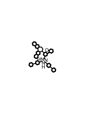 c1ccc(-c2ccc(C3=NC(c4cc(C5CCc6cc7ccccc7cc6-c6cc7ccccc7cc65)c5oc6ccccc6c5c4)NC(c4ccc(-c5ccccc5)cc4)N3)cc2)cc1